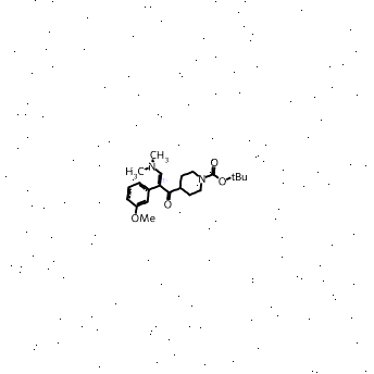 COc1cccc(/C(=C\N(C)C)C(=O)C2CCN(C(=O)OC(C)(C)C)CC2)c1